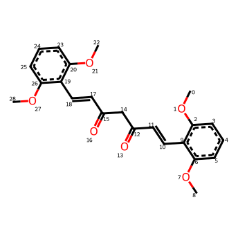 COc1cccc(OC)c1C=CC(=O)CC(=O)C=Cc1c(OC)cccc1OC